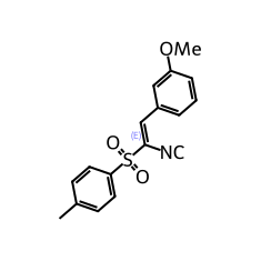 [C-]#[N+]/C(=C\c1cccc(OC)c1)S(=O)(=O)c1ccc(C)cc1